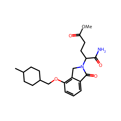 COC(=O)CCC(C(N)=O)N1Cc2c(OCC3CCC(C)CC3)cccc2C1=O